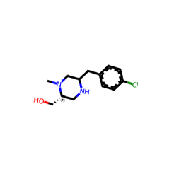 CN1CC(Cc2ccc(Cl)cc2)NC[C@@H]1CO